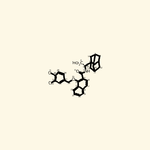 O=C(N[C@H](C(=O)O)C12CC3CC(CC(C3)C1)C2)c1ccc2ccccc2c1OCc1ccc(Cl)c(Cl)c1